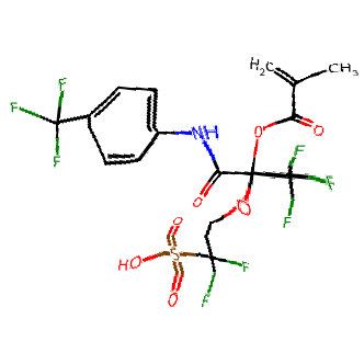 C=C(C)C(=O)OC(OCC(F)(F)S(=O)(=O)O)(C(=O)Nc1ccc(C(F)(F)F)cc1)C(F)(F)F